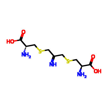 N=C(CSC[C@H](N)C(=O)O)CSC[C@H](N)C(=O)O